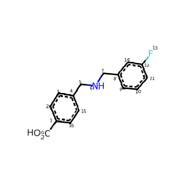 O=C(O)c1ccc(CNCc2cccc(F)c2)cc1